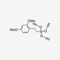 C#CO[Si](CCc1ccc(OC)cc1OC)(OC#C)OC#C